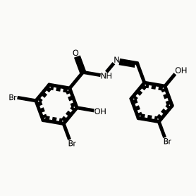 O=C(N/N=C\c1ccc(Br)cc1O)c1cc(Br)cc(Br)c1O